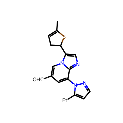 CCc1ccnn1-c1cc(C=O)cn2c(C3CC=C(C)S3)cnc12